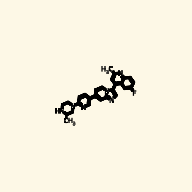 Cc1cc(-c2cnc3cc(-c4ccc(N5CCN[C@H](C)C5)nc4)ccn23)c2cc(F)ccc2n1